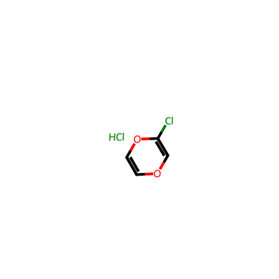 Cl.ClC1=COC=CO1